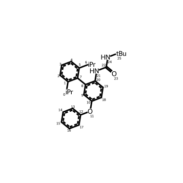 CC(C)c1cccc(C(C)C)c1-c1cc(Oc2ccccc2)ccc1NC(=O)NC(C)(C)C